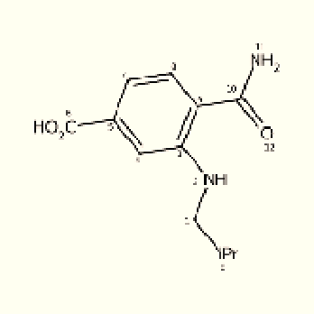 CC(C)CNc1cc(C(=O)O)ccc1C(N)=O